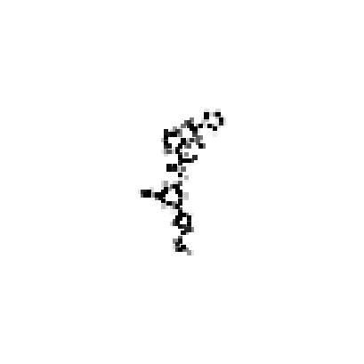 Cn1c(C2CCCC2)nc2ncnc(C(=O)NCc3cc(C#N)cc(-c4cnn(C5CC5)c4)c3)c21